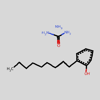 CCCCCCCCCc1ccccc1O.N.NC(N)=O